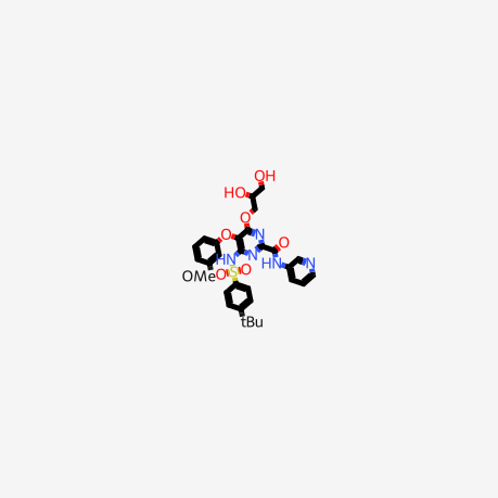 COc1cccc(Oc2c(NS(=O)(=O)c3ccc(C(C)(C)C)cc3)nc(C(=O)Nc3cccnc3)nc2OCC(O)CO)c1